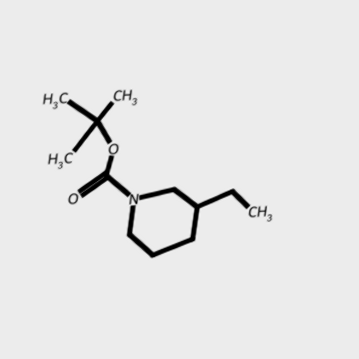 CCC1CCCN(C(=O)OC(C)(C)C)C1